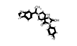 CC(c1ccc2scnc2c1)N1CCC2(CC1)NC(O)N(c1ccc(F)cc1)C2=O